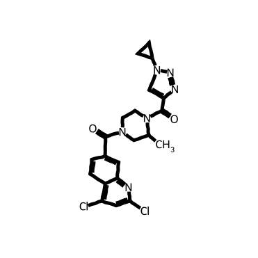 CC1CN(C(=O)c2ccc3c(Cl)cc(Cl)nc3c2)CCN1C(=O)c1cn(C2CC2)nn1